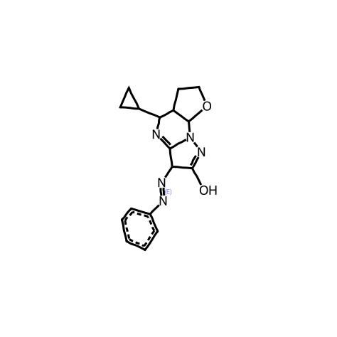 OC1=NN2C(=NC(C3CC3)C3CCOC32)C1/N=N/c1ccccc1